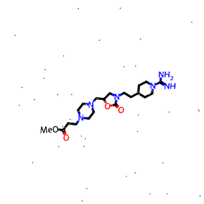 COC(=O)CCN1CCN(CC2CN(CCC3CCN(C(=N)N)CC3)C(=O)O2)CC1